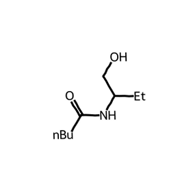 CCCCC(=O)NC(CC)CO